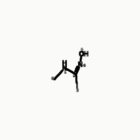 CN/C(I)=N\O